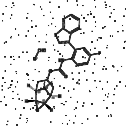 C[N+]1(C)[C@@H]2CC(OC(=O)Nc3ccc(F)cc3-c3csc4ccccc34)C[C@H]1[C@@H]1O[C@@H]12.O=C[O-]